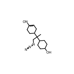 CC(CN=[N+]=[N-])(C1CC=C(N=O)CC1)C1CCC(O)CC1